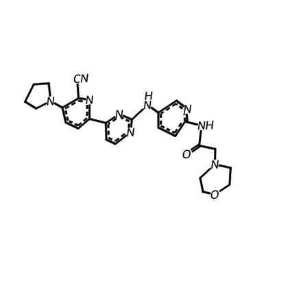 N#Cc1nc(-c2ccnc(Nc3ccc(NC(=O)CN4CCOCC4)nc3)n2)ccc1N1CCCC1